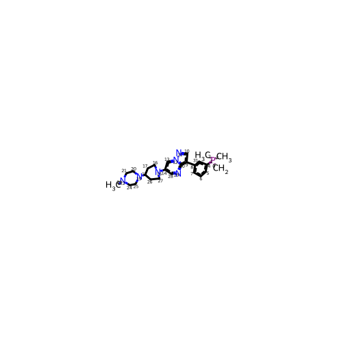 C=P(C)(C)c1cccc(-c2cnn3cc(N4CCC(N5CCN(C)CC5)CC4)cnc23)c1